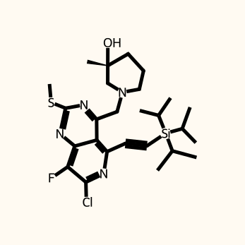 CSc1nc(CN2CCC[C@@](C)(O)C2)c2c(C#C[Si](C(C)C)(C(C)C)C(C)C)nc(Cl)c(F)c2n1